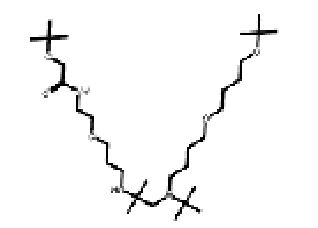 CC(C)(CN(CCCCOCCCCOC(C)(C)C)C(C)(C)C)NCCCOCCNC(=O)COC(C)(C)C